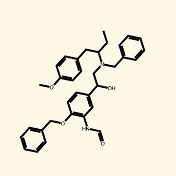 CCC(Cc1ccc(OC)cc1)N(Cc1ccccc1)CC(O)c1ccc(OCc2ccccc2)c(NC=O)c1